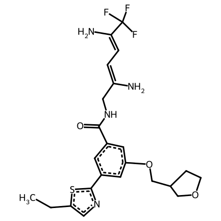 CCc1cnc(-c2cc(OCC3CCOC3)cc(C(=O)NC/C(N)=C/C=C(\N)C(F)(F)F)c2)s1